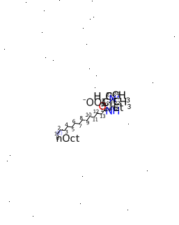 CCCCCCCC/C=C\CCCCCCCCCCCC(=O)NC(CC)C(C(=O)[O-])[N+](C)(C)C